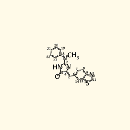 CN(C1=NC(=Cc2ccc3ncsc3c2)C(=O)N1)c1ccccc1